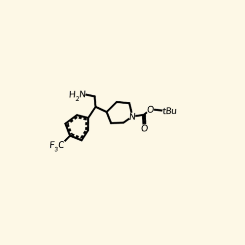 CC(C)(C)OC(=O)N1CCC(C(CN)c2ccc(C(F)(F)F)cc2)CC1